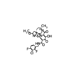 COC1=NO[C@@]2(CC[C@H](C)N3C[C@H]2n2cc(C(=O)NCc4ccc(F)c(Cl)c4F)c(=O)c(O)c2C3=O)C1